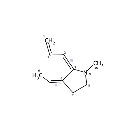 C=C/C=C1\C(=C/C)CCN1C